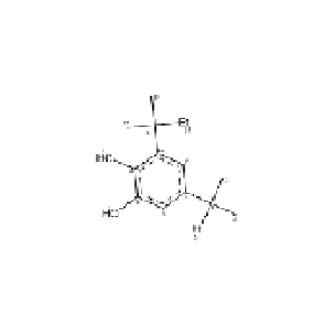 CCC(C)(C)c1cc(O)c(O)c(C(C)(C)CC)c1